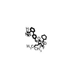 CC(C)CCc1c(C(F)(F)F)n(C(=O)C2CCCCC2)c(=O)n1Cc1ccc(-c2ccccc2-c2nnn[nH]2)cc1